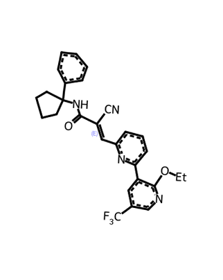 CCOc1ncc(C(F)(F)F)cc1-c1cccc(/C=C(\C#N)C(=O)NC2(c3ccccc3)CCCC2)n1